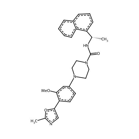 COc1cc(N2CCN(C(=O)N[C@@H](C)c3cccc4ccccc34)CC2)ccc1-c1cnc(C)o1